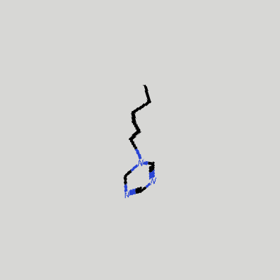 CCCCCN1C=NC=NC1